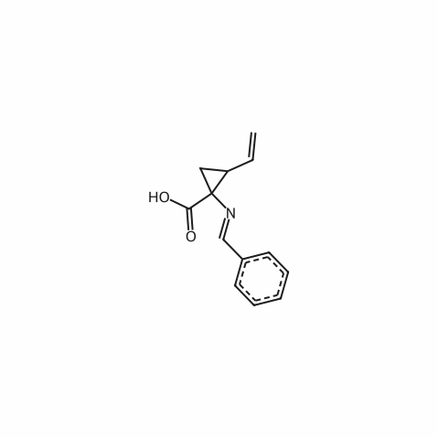 C=CC1CC1(N=Cc1ccccc1)C(=O)O